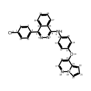 Clc1ccc(-c2nnc(Nc3ccc(Oc4ccnn5cccc45)cc3)c3ccccc23)cc1